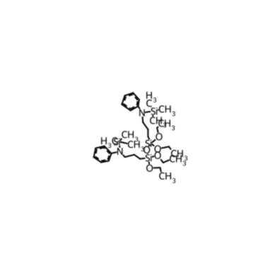 CCO[Si](CCCN(c1ccccc1)[Si](C)(C)C)(OCC)O[Si](CCCN(c1ccccc1)[Si](C)(C)C)(OCC)OCC